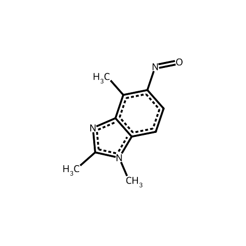 Cc1c(N=O)ccc2c1nc(C)n2C